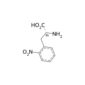 N[C@H](Cc1ccccc1[N+](=O)[O-])C(=O)O